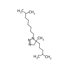 CC(C)CCCCCCN1N=NCC1(C)CCCC(C)C